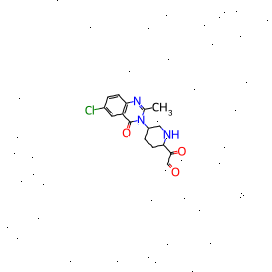 Cc1nc2ccc(Cl)cc2c(=O)n1C1CCC(C(=O)C=O)NC1